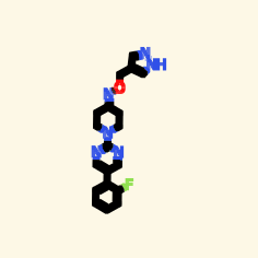 Fc1ccccc1-c1cnc(N2CCC(=NOCc3cn[nH]c3)CC2)nc1